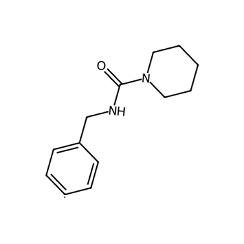 O=C(NCc1cc[c]cc1)N1CCCCC1